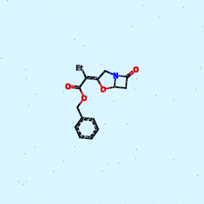 CCC(C(=O)OCc1ccccc1)=C1CN2C(=O)CC2O1